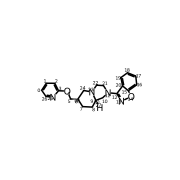 c1ccc(OC[C@@H]2CC[C@H]3CN(c4noc5ccccc45)CCN3C2)nc1